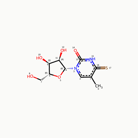 Cc1cn([C@@H]2O[C@H](CO)[C@@H](O)[C@H]2O)c(=O)[nH]c1=S